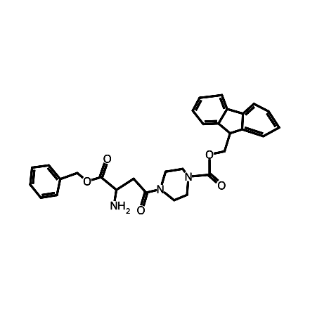 NC(CC(=O)N1CCN(C(=O)OCC2c3ccccc3-c3ccccc32)CC1)C(=O)OCc1ccccc1